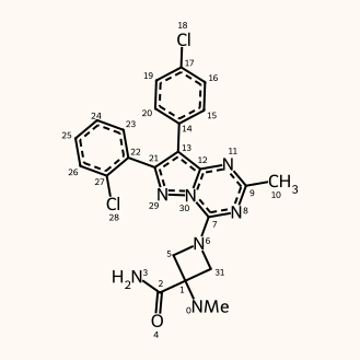 CNC1(C(N)=O)CN(c2nc(C)nc3c(-c4ccc(Cl)cc4)c(-c4ccccc4Cl)nn23)C1